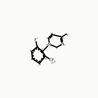 CC1=NCN(c2c(F)cccc2C(F)(F)F)C=C1